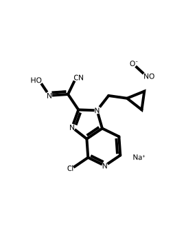 N#CC(=NO)c1nc2c(Cl)nccc2n1CC1CC1.O=N[O-].[Na+]